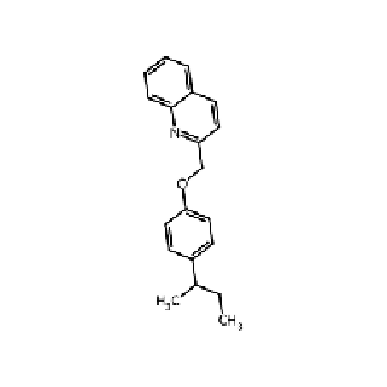 CCC(C)c1ccc(OCc2ccc3ccccc3n2)cc1